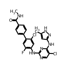 CNC(=O)c1ccc(-c2cc(F)c(Nc3ncc(Cl)c(Nc4cc(C)[nH]n4)n3)cc2Cl)cc1